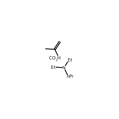 C=C(C)C(=O)O.CCCN(CC)CC